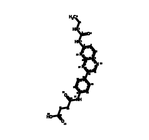 CCNC(=O)Nc1ccc2ncc(-c3ccc(NC(=O)CCC(=O)O)cc3)nc2n1